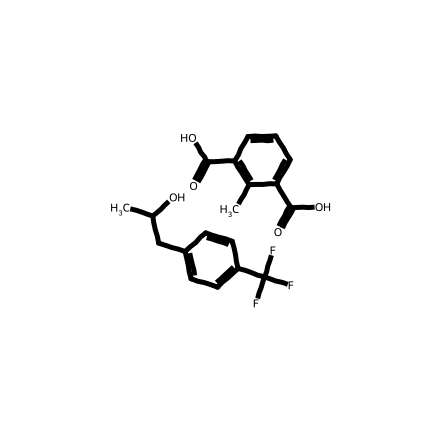 CC(O)Cc1ccc(C(F)(F)F)cc1.Cc1c(C(=O)O)cccc1C(=O)O